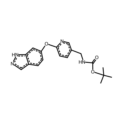 CC(C)(C)OC(=O)NCc1ccc(Oc2ccc3cn[nH]c3c2)nc1